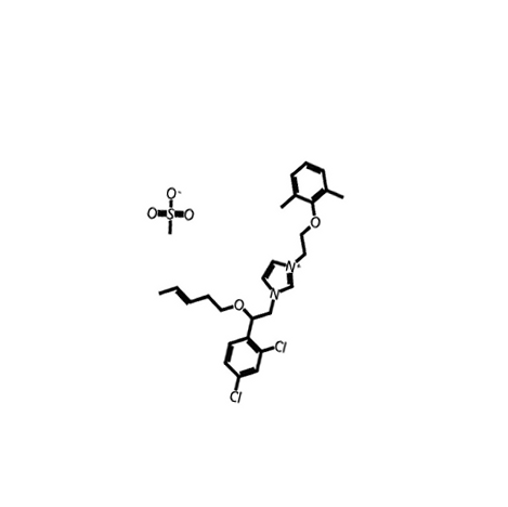 CC=CCCOC(Cn1cc[n+](CCOc2c(C)cccc2C)c1)c1ccc(Cl)cc1Cl.CS(=O)(=O)[O-]